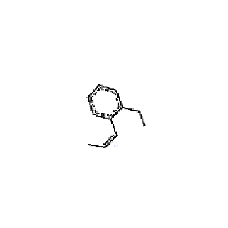 C/C=C\c1ccccc1CC